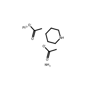 C1CCNCC1.CC(=O)[O-].CC(=O)[O-].N.[Pt+2]